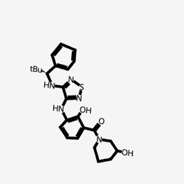 CC(C)(C)[C@@H](Nc1nsnc1Nc1cccc(C(=O)N2CCCC(O)C2)c1O)c1ccccc1